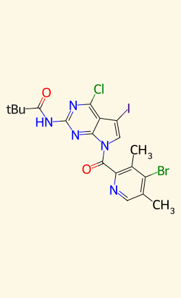 Cc1cnc(C(=O)n2cc(I)c3c(Cl)nc(NC(=O)C(C)(C)C)nc32)c(C)c1Br